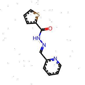 O=C(N/N=C/c1ccccn1)c1cccs1